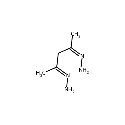 CC(CC(C)=NN)=NN